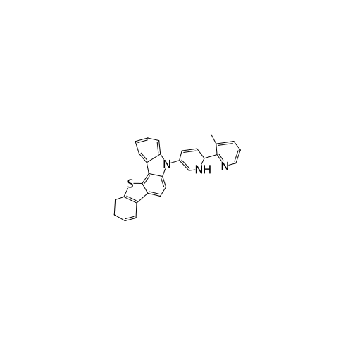 Cc1cccnc1C1C=CC(n2c3ccccc3c3c4sc5c(c4ccc32)C=CCC5)=CN1